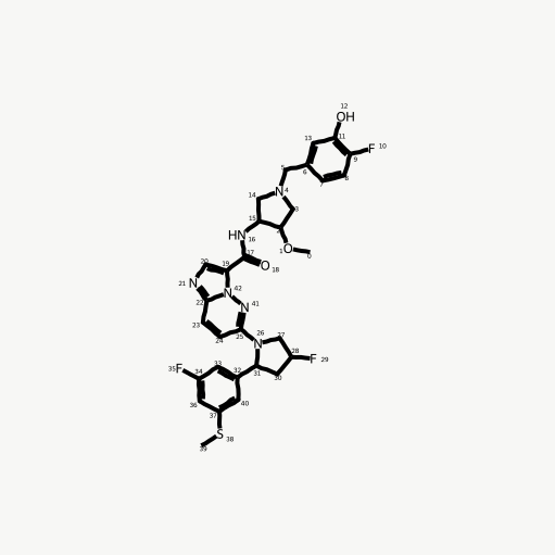 COC1CN(Cc2ccc(F)c(O)c2)CC1NC(=O)c1cnc2ccc(N3CC(F)CC3c3cc(F)cc(SC)c3)nn12